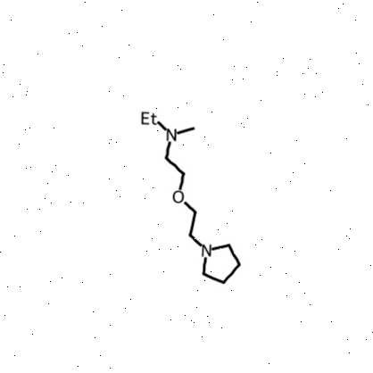 CCN(C)CCOCCN1CCCC1